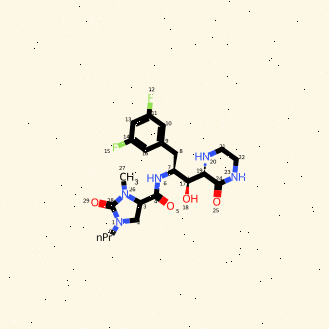 CCCN1CC(C(=O)N[C@@H](Cc2cc(F)cc(F)c2)[C@H](O)[C@@H]2NCCNC2=O)N(C)C1=O